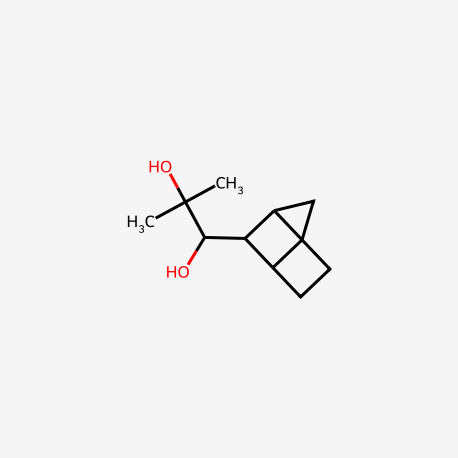 CC(C)(O)C(O)C1C2CCC23CC13